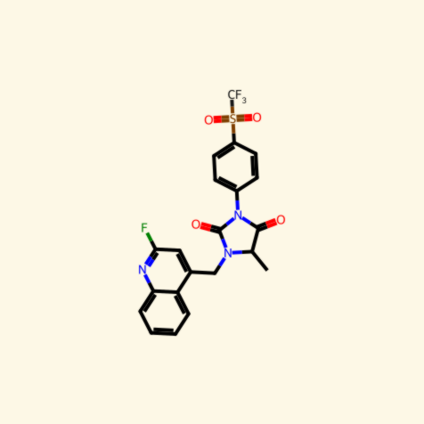 CC1C(=O)N(c2ccc(S(=O)(=O)C(F)(F)F)cc2)C(=O)N1Cc1cc(F)nc2ccccc12